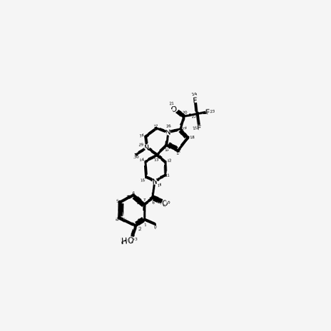 Cc1c(O)cccc1C(=O)N1CCC2(CC1)c1ccc(C(=O)C(F)(F)F)n1CCN2C